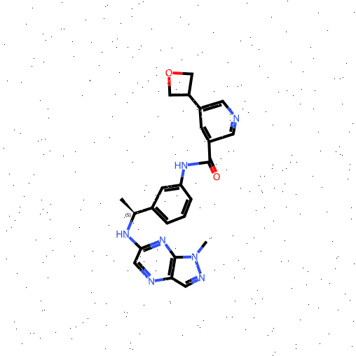 C[C@H](Nc1cnc2cnn(C)c2n1)c1cccc(NC(=O)c2cncc(C3COC3)c2)c1